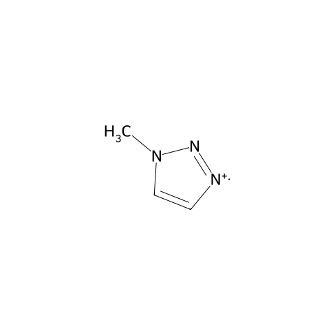 CN1C=C[N+]=N1